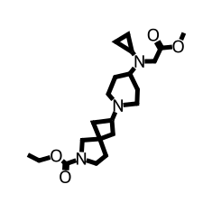 CCOC(=O)N1CCC2(CC(N3CCC(N(CC(=O)OC)C4CC4)CC3)C2)C1